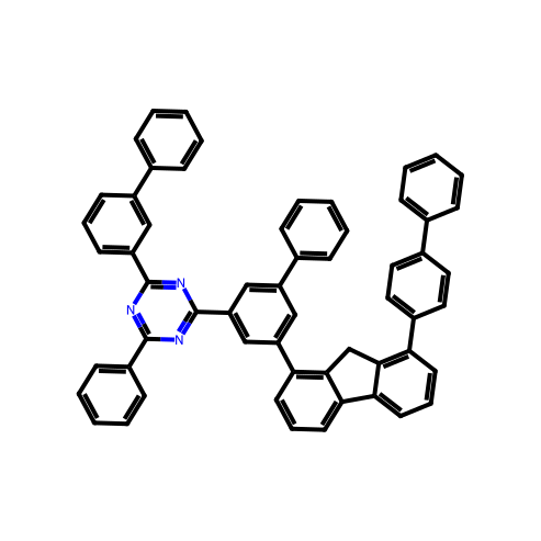 c1ccc(-c2ccc(-c3cccc4c3Cc3c(-c5cc(-c6ccccc6)cc(-c6nc(-c7ccccc7)nc(-c7cccc(-c8ccccc8)c7)n6)c5)cccc3-4)cc2)cc1